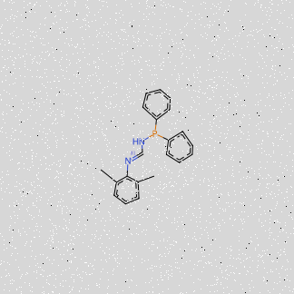 Cc1cccc(C)c1/N=C/NP(c1ccccc1)c1ccccc1